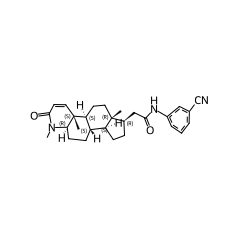 CN1C(=O)C=C[C@]2(C)[C@H]3CC[C@]4(C)[C@@H](CC(=O)Nc5cccc(C#N)c5)CC[C@H]4[C@@H]3CC[C@@H]12